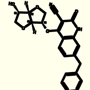 N#Cc1c(O[C@H]2CO[C@H]3[C@@H]2OC[C@@H]3O)c2ccc(Cc3ccccc3)cc2[nH]c1=O